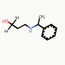 [2H]C([2H])(O)CCNC(C)c1ccccc1